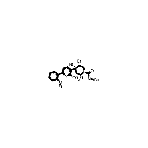 CCOC(=O)c1nc(-c2ccccc2OCC)ccc1[C@]1(C#N)CCN(C(=O)OC(C)(C)C)C[C@H]1CC